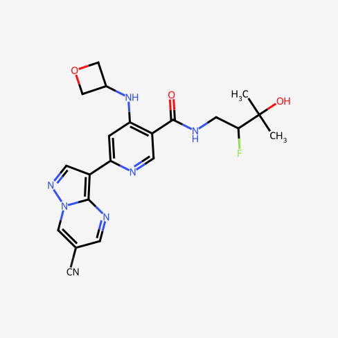 CC(C)(O)C(F)CNC(=O)c1cnc(-c2cnn3cc(C#N)cnc23)cc1NC1COC1